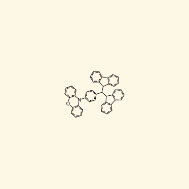 c1ccc2c(c1)Oc1ccccc1N2c1ccc(C(C2c3ccccc3-c3ccccc32)C2c3ccccc3-c3ccccc32)cc1